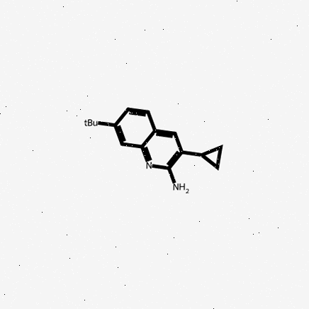 CC(C)(C)c1ccc2cc(C3CC3)c(N)nc2c1